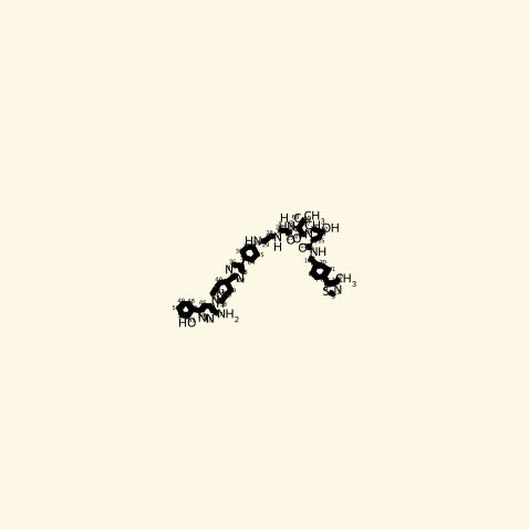 Cc1ncsc1-c1ccc(CNC(=O)[C@@H]2C[C@@H](O)CN2C(=O)[C@@H](NC(=O)CNCCN[C@H]2CC[C@H](c3cnc(C4CC5CN(c6cc(-c7ccccc7O)nnc6N)CC(C4)N5)nc3)CC2)C(C)(C)C)cc1